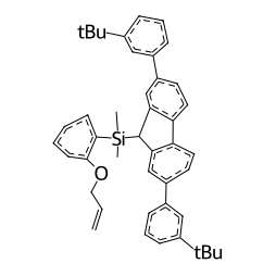 C=CCOc1ccccc1[Si](C)(C)C1c2cc(-c3cccc(C(C)(C)C)c3)ccc2-c2ccc(-c3cccc(C(C)(C)C)c3)cc21